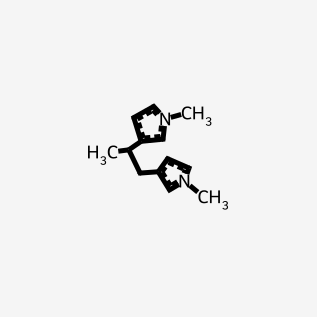 CC(Cc1ccn(C)c1)c1ccn(C)c1